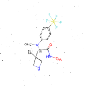 CCC1([C@@H](C(=O)NO)N(C=O)c2ccc(S(F)(F)(F)(F)F)cc2)CNC1